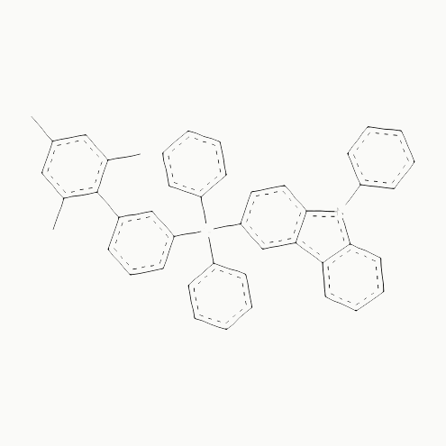 Cc1cc(C)c(-c2cccc([Si](c3ccccc3)(c3ccccc3)c3ccc4c(c3)c3ccccc3n4-c3ccccc3)c2)c(C)c1